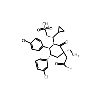 CC[C@]1(CC(=O)O)C[C@H](c2cccc(Cl)c2)[C@@H](c2ccc(Cl)cc2)N([C@H](CS(C)(=O)=O)C2CC2)C1=O